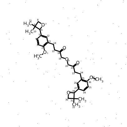 COc1ccc(C2OCC2(C)C)cc1CCC(=O)COCC(=O)CCc1cc(C2OCC2(C)C)ccc1OC